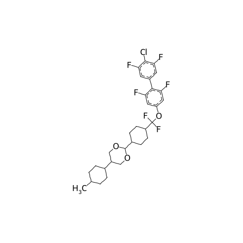 CC1CCC(C2COC(C3CCC(C(F)(F)Oc4cc(F)c(-c5cc(F)c(Cl)c(F)c5)c(F)c4)CC3)OC2)CC1